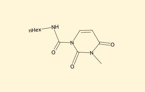 CCCCCCNC(=O)n1ccc(=O)n(C)c1=O